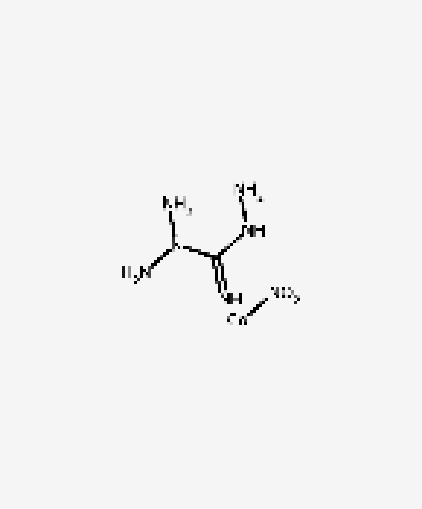 N=C(NN)N(N)N.O=[N+]([O-])[Co]